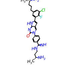 C[C@H](N)CCCc1cc(Cl)c(F)c(-c2cc3cn(-c4ccc(C(=N)NCC[C@H](C)N)cc4)c(=O)nc3[nH]2)c1